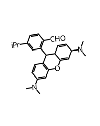 CC(C)c1ccc(C=O)c(C2c3ccc(N(C)C)cc3OC3=CC(N(C)C)C=CC32)c1